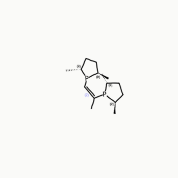 C/C(=C/P1[C@H](C)CC[C@H]1C)P1[C@H](C)CC[C@H]1C